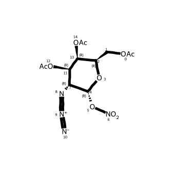 CC(=O)OC[C@H]1O[C@H](O[N+](=O)[O-])[C@H](N=[N+]=[N-])[C@@H](OC(C)=O)[C@H]1OC(C)=O